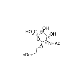 CCCCCCCCCCCCOC1O[C@H](C(=O)O)[C@@H](O)[C@H](O)[C@H]1NC(C)=O